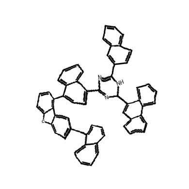 c1ccc2cc(C3=NC(c4ccc(-c5cccc6oc7ccc(-c8cccc9ccccc89)cc7c56)c5ccccc45)=NC(c4cc5ccccc5c5ccccc45)N3)ccc2c1